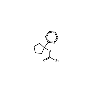 CC(C)(C)C(=O)OC1(c2ccccc2)CCCC1